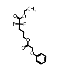 CCOC(=O)C(F)(F)CCCOC(=O)COc1ccccc1